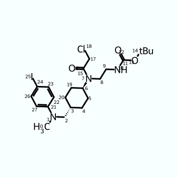 CN(C[C@H]1CC[C@H](N(CCNC(=O)OC(C)(C)C)C(=O)CCl)CC1)c1ccc(I)cc1